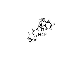 Cl.O=S(=O)(CCCN1CCOCC1)c1ccccc1O